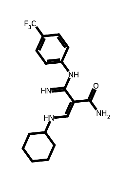 N=C(Nc1ccc(C(F)(F)F)cc1)/C(=C\NC1CCCCC1)C(N)=O